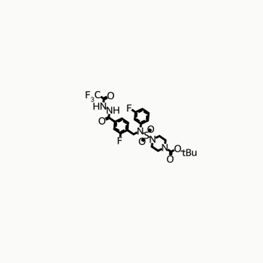 CC(C)(C)OC(=O)N1CCN(S(=O)(=O)N(Cc2ccc(C(=O)NNC(=O)C(F)(F)F)cc2F)c2cccc(F)c2)CC1